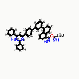 CC(C)(C)C(=N)OC(=N)c1cccc2c(-c3cccc(-c4ccc(C5=CC(c6ccccc6)NC(c6ccccc6)=N5)cc4)c3)cccc12